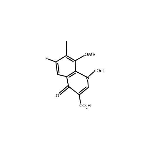 CCCCCCCCn1cc(C(=O)O)c(=O)c2cc(F)c(C)c(OC)c21